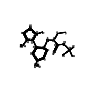 CCN(Oc1ccc(N)cc1-c1c(Br)cnn1C)C(=O)OC(C)(C)C